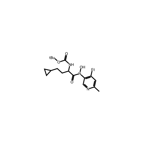 CCc1cc(C)ncc1N(O)C(=O)C(CCC1CC1)NC(=O)OC(C)(C)C